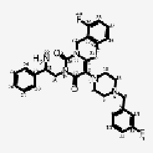 Cc1c(N2CCN(Cc3cccc(F)c3)CC2)c(=O)n(CC(N)c2ccccc2)c(=O)n1Cc1c(F)cccc1F